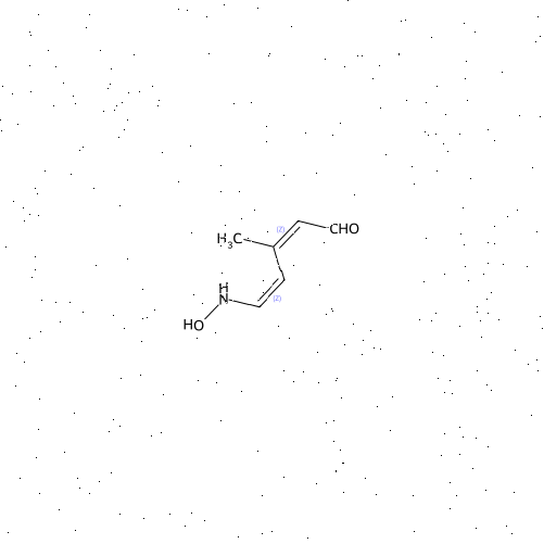 CC(/C=C\NO)=C/C=O